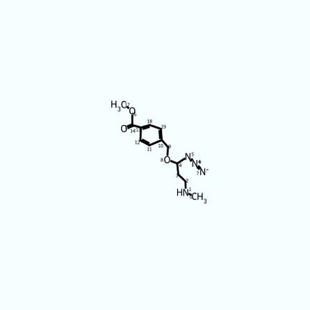 CNCCC(N=[N+]=[N-])OCc1ccc(C(=O)OC)cc1